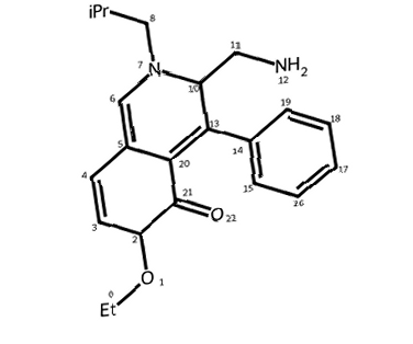 CCOC1C=CC2=CN(CC(C)C)C(CN)C(c3ccccc3)=C2C1=O